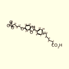 O=C(O)CCCCC[n+]1ccc(-c2nc3ccc(OCCCS(=O)(=O)[O-])cc3o2)cc1